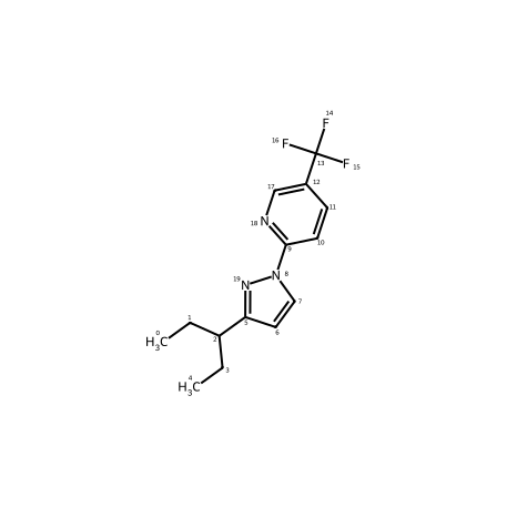 CCC(CC)c1ccn(-c2ccc(C(F)(F)F)cn2)n1